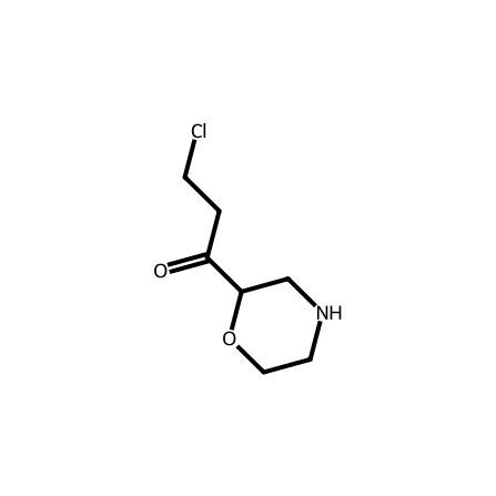 O=C(CCCl)C1CNCCO1